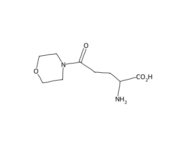 NC(CCC(=O)N1CCOCC1)C(=O)O